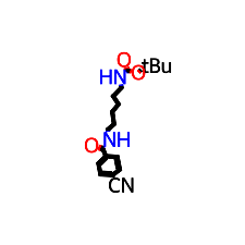 CC(C)(C)OC(=O)NCCCCCCNC(=O)c1ccc(C#N)cc1